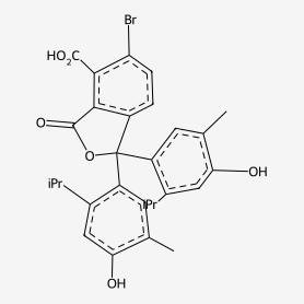 Cc1cc(C2(c3cc(C)c(O)cc3C(C)C)OC(=O)c3c2ccc(Br)c3C(=O)O)c(C(C)C)cc1O